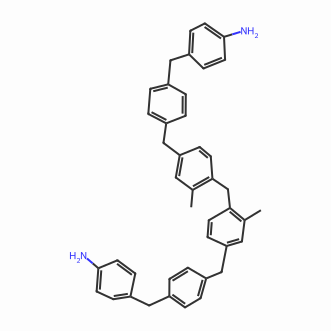 Cc1cc(Cc2ccc(Cc3ccc(N)cc3)cc2)ccc1Cc1ccc(Cc2ccc(Cc3ccc(N)cc3)cc2)cc1C